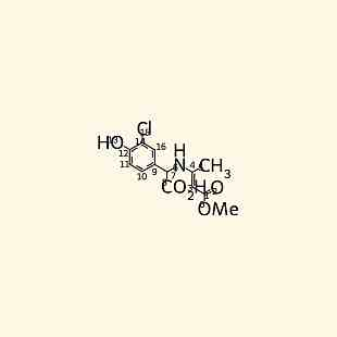 COC(=O)C=C(C)NC(C(=O)O)c1ccc(O)c(Cl)c1